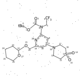 CC(C)(C)OC(=O)N(CC(F)(F)F)c1cc(N2CCS(=O)(=O)CC2)cc(COC2CCCCO2)n1